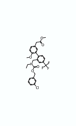 CCN(Cc1cc(C(F)(F)F)ccc1-c1cc(CC(=O)OC)ccc1OC)C(=O)OCc1cccc(Cl)c1